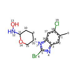 Cc1cc2nc(Br)n([C@H]3CCC(NO)OC3)c2cc1Cl